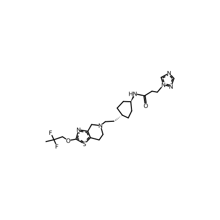 CC(F)(F)COc1nc2c(s1)CCN(CC[C@H]1CC[C@H](NC(=O)CCn3cncn3)CC1)C2